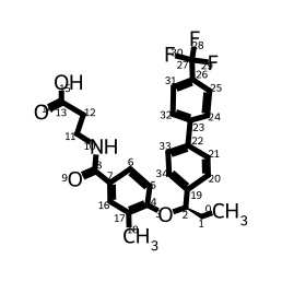 CC[C@@H](Oc1ccc(C(=O)NCCC(=O)O)cc1C)c1ccc(-c2ccc(C(F)(F)F)cc2)cc1